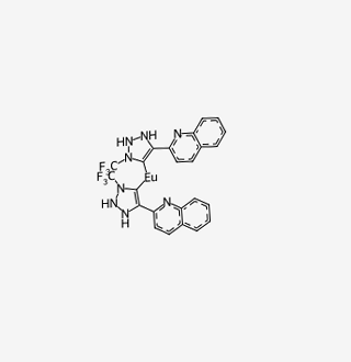 FC(F)(F)N1NNC(c2ccc3ccccc3n2)=[C]1[Eu][C]1=C(c2ccc3ccccc3n2)NNN1C(F)(F)F